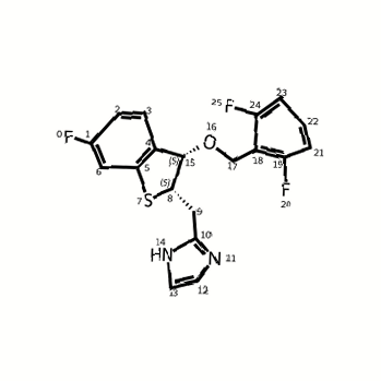 Fc1ccc2c(c1)S[C@@H](Cc1ncc[nH]1)[C@H]2OCc1c(F)cccc1F